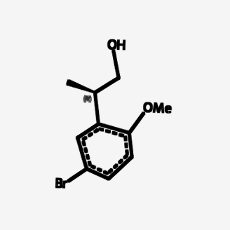 COc1ccc(Br)cc1[C@@H](C)CO